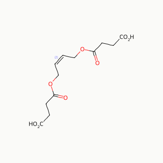 O=C(O)CCC(=O)OC/C=C\COC(=O)CCC(=O)O